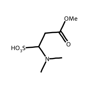 COC(=O)CC(N(C)C)S(=O)(=O)O